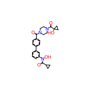 O=C(c1ccc(-c2cccc(N(O)C(=O)C3CC3)c2)cc1)N1CCN(C(=O)C2(O)CC2)CC1